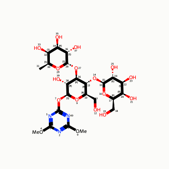 COc1nc(OC)nc(O[C@@H]2O[C@H](CO)[C@@H](O[C@@H]3O[C@H](CO)[C@H](O)[C@H](O)[C@H]3O)[C@H](O[C@@H]3O[C@@H](C)[C@@H](O)[C@@H](O)[C@@H]3O)[C@H]2O)n1